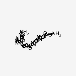 NCCOCCC(=O)N1CCc2nc(N3CCN(c4ncc(C(=O)N5CCc6cc(Cn7nc(-c8ccc9oc(N)nc9c8)c8c(N)ncnc87)ccc6C5)cn4)CC3)ncc2C1